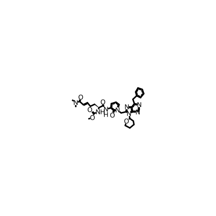 COC(=O)N[C@@H](CC/C=C/C(=O)N(C)C)C(=O)Nc1cccn(Cc2nc3c(Cc4ccccc4)ncnc3n2C2CCCCO2)c1=O